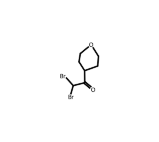 O=C(C(Br)Br)C1CCOCC1